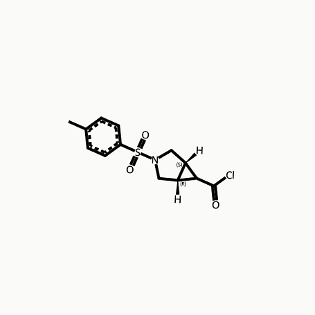 Cc1ccc(S(=O)(=O)N2C[C@@H]3C(C(=O)Cl)[C@@H]3C2)cc1